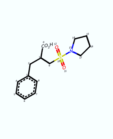 O=C(O)C(Cc1ccccc1)CS(=O)(=O)N1CCCC1